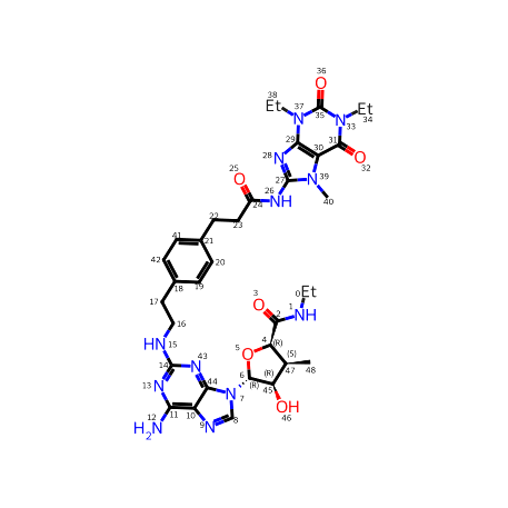 CCNC(=O)[C@@H]1O[C@@H](n2cnc3c(N)nc(NCCc4ccc(CCC(=O)Nc5nc6c(c(=O)n(CC)c(=O)n6CC)n5C)cc4)nc32)[C@H](O)[C@@H]1C